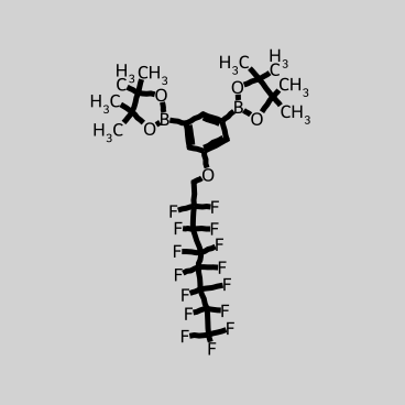 CC1(C)OB(c2cc(OCC(F)(F)C(F)(F)C(F)(F)C(F)(F)C(F)(F)C(F)(F)C(F)(F)F)cc(B3OC(C)(C)C(C)(C)O3)c2)OC1(C)C